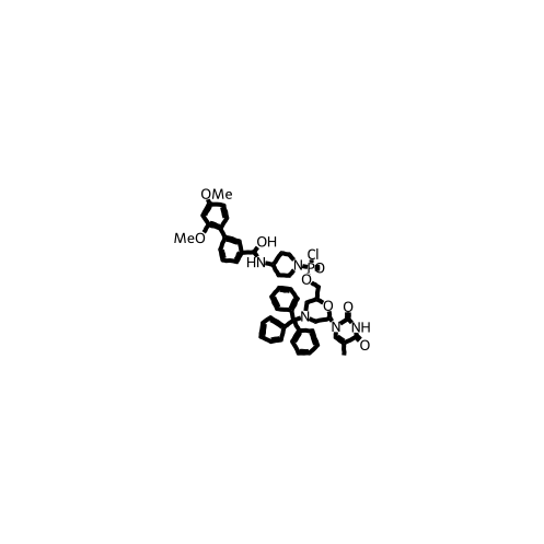 COc1ccc(-c2cccc(C(O)NC3CCN(P(=O)(Cl)OCC4CN(C(c5ccccc5)(c5ccccc5)c5ccccc5)CC(n5cc(C)c(=O)[nH]c5=O)O4)CC3)c2)c(OC)c1